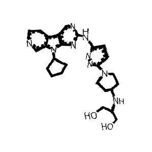 OCC(CO)NC1CCN(c2ccc(Nc3ncc4c5ccncc5n(C5CCCC5)c4n3)nn2)CC1